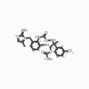 Cc1coc(=N)n1Cc1cccc(N)c1NC(=O)SNC(C)(COC(=O)C(C)(C)C)c1cccc(C(F)(F)F)c1